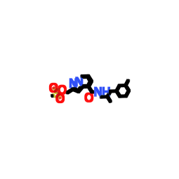 CC1CCCC(CC(C)CNC(=O)c2cccn3nc(COS(C)(=O)=O)cc23)C1